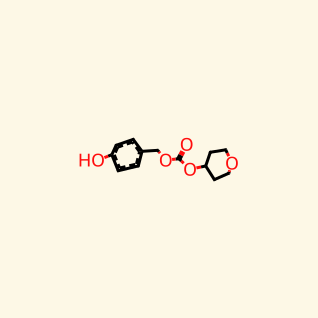 O=C(OCc1ccc(O)cc1)OC1CCOCC1